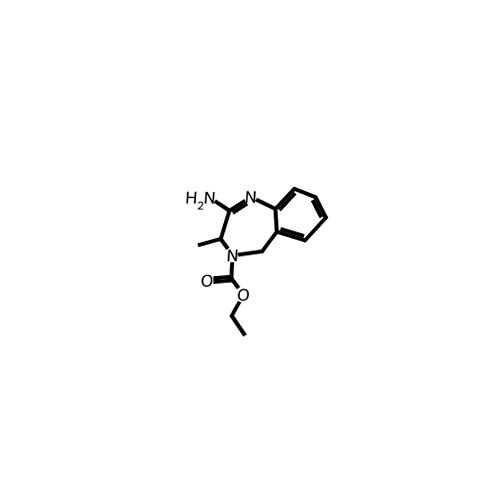 CCOC(=O)N1Cc2ccccc2N=C(N)C1C